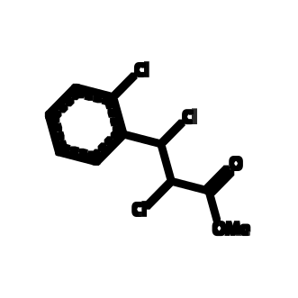 COC(=O)C(Cl)C(Cl)c1ccccc1Cl